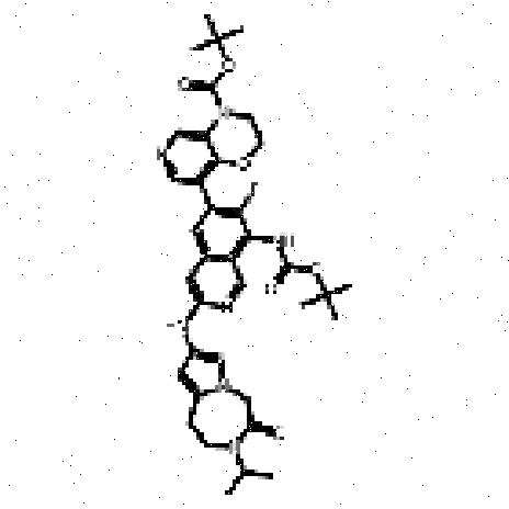 CC(C)N1CCc2cc(Nc3cc4cc(-c5cncc6c5OCCN6C(=O)OC(C)(C)C)c(F)c(NC(=O)OC(C)(C)C)c4cn3)nn2CC1=O